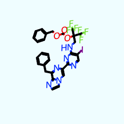 O=C(OCc1ccccc1)OC(CNc1nc(-c2cn3ccnc3c(Cc3ccccc3)n2)ncc1I)(C(F)(F)F)C(F)(F)F